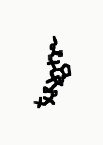 CCOC(=S)SC(C)(C)C(CC(C)(C)C(C)C(=O)OC(C)(C)CC(C)(C)C)C1CCCC1=O